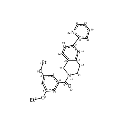 CCOc1cc(OCC)cc(C(=O)N2CCc3nc(-c4ccccn4)ncc3C2)c1